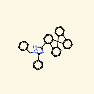 c1ccc(C[n+]2[nH]c(-c3cccc4c3-c3ccccc3C43c4ccccc4-c4ccccc43)nc2-c2ccccc2)cc1